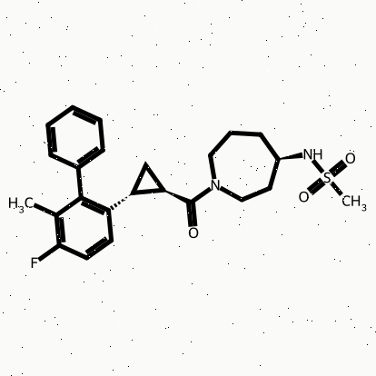 Cc1c(F)ccc([C@@H]2C[C@H]2C(=O)N2CCC[C@@H](NS(C)(=O)=O)CC2)c1-c1ccccc1